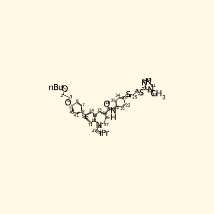 CCCCOCCOc1ccc(-c2ccc3c(c2)C=C(C(=O)Nc2ccc(SCCSc4nncn4C)cc2)CCN3CC(C)C)cc1